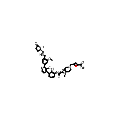 COc1cc(-c2nccc(-c3cccc(NC(=O)c4nc5c(n4C)CCN(CC46CC(C(=O)O)(C4)C6)C5)c3Cl)c2Cl)ccc1CNC[C@H]1CCC(=O)N1